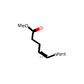 CCCCC/C=C\CCC(=O)OC